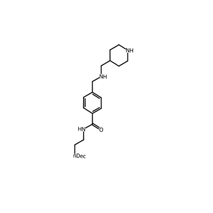 CCCCCCCCCCCCNC(=O)c1ccc(CNCC2CCNCC2)cc1